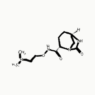 CN(C)CCONC(=O)[C@@H]1CC[C@@H]2CN1C(=O)N2